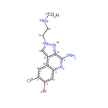 Nc1nc2cc(Br)c(Cl)cc2c2cn(CCNC(=O)O)nc12